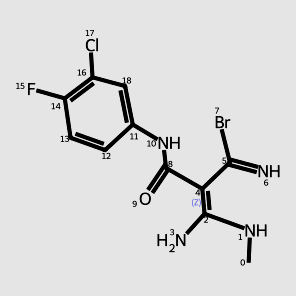 CN/C(N)=C(\C(=N)Br)C(=O)Nc1ccc(F)c(Cl)c1